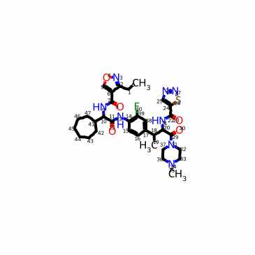 CCc1nocc1C(=O)NC(C(=O)Nc1ccc(C(C)C(NC(=O)c2cnns2)C(=O)N2CCN(C)CC2)cc1F)C1CCCCCC1